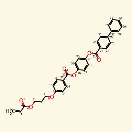 C=CC(=O)OCCCOc1ccc(C(=O)Oc2ccc(OC(=O)c3ccc(-c4ccccc4)cc3)cc2)cc1